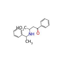 CC(NC(CC(=O)c1ccccc1)C(=O)O)c1ccccc1